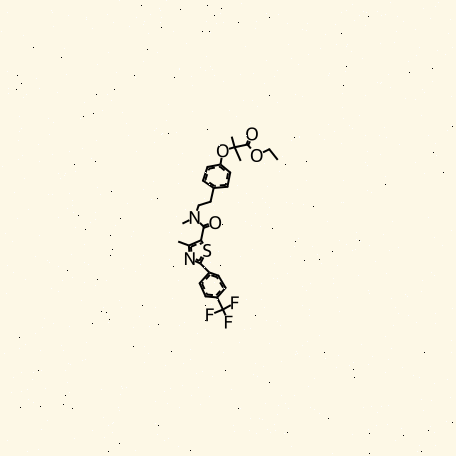 CCOC(=O)C(C)(C)Oc1ccc(CCN(C)C(=O)c2sc(-c3ccc(C(F)(F)F)cc3)nc2C)cc1